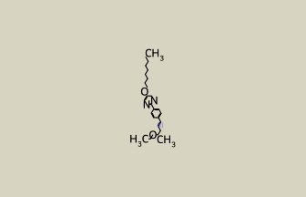 CCCCCCCCCOc1cnc(-c2ccc(/C=C/CC(C)OCC)cc2)nc1